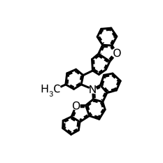 Cc1ccc(-c2ccc3oc4ccccc4c3c2)c(-n2c3ccccc3c3ccc4c5ccccc5oc4c32)c1